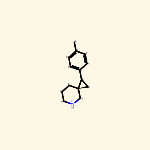 Cc1ccc(C2C[C@@]23CCCNC3)cc1